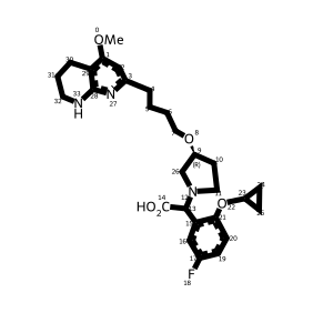 COc1cc(CCCCO[C@@H]2CCN(C(C(=O)O)c3cc(F)ccc3OC3CC3)C2)nc2c1CCCN2